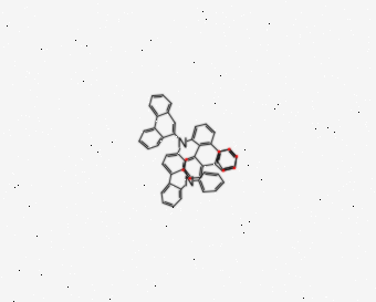 c1ccc(-c2ccccc2-c2c(-c3ccccc3)cccc2N(c2ccc3c4ccccc4n(-c4ccccc4)c3c2)c2cc3ccccc3c3ccccc23)cc1